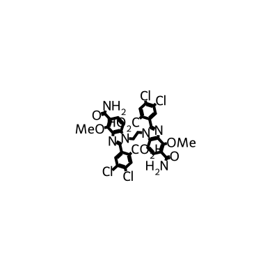 COc1c(C(N)=O)ccc2c1nc(-c1cc(Cl)c(Cl)cc1C(=O)O)n2CCn1c(-c2cc(Cl)c(Cl)cc2C(=O)O)nc2c(OC)c(C(N)=O)ccc21